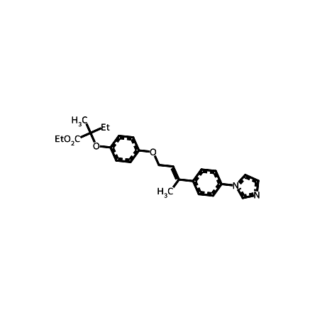 CCOC(=O)C(C)(CC)Oc1ccc(OC/C=C(\C)c2ccc(-n3ccnc3)cc2)cc1